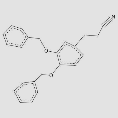 N#CCCc1ccc(OCc2ccccc2)c(OCc2ccccc2)c1